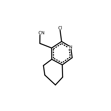 N#CCc1c(Cl)ncc2c1CCCC2